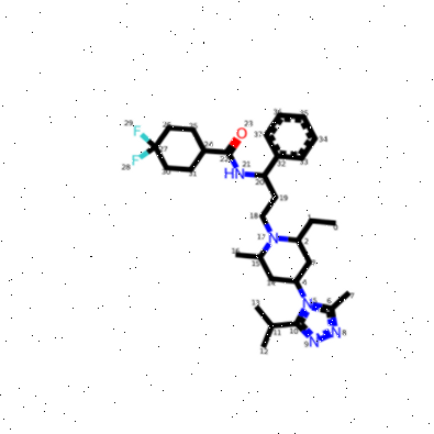 CCC1CC(n2c(C)nnc2C(C)C)CC(C)N1CCC(NC(=O)C1CCC(F)(F)CC1)c1ccccc1